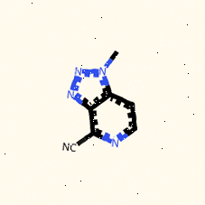 Cn1nnc2c(C#N)nccc21